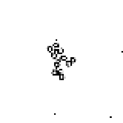 c1ccc(C2(c3ccccc3)c3ccccc3-c3ccc(N(c4ccc(-c5cccc6c5oc5ccccc56)cc4)c4cccc(-c5cccc6ccccc56)c4)cc32)cc1